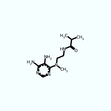 CC(C)C(=O)NCCN(C)c1ncnc(N)c1N